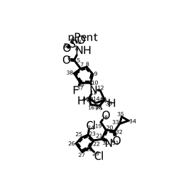 CCCCCS(=O)(=O)NC(=O)c1ccc(N2C[C@@H]3C[C@H]2C[C@H]3OCc2c(-c3c(Cl)cccc3Cl)noc2C2CC2)c(F)c1